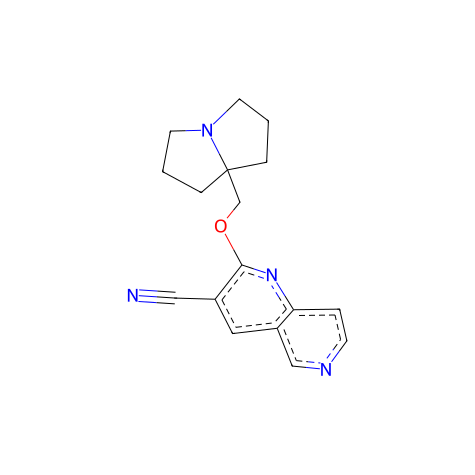 N#Cc1cc2cnccc2nc1OCC12CCCN1CCC2